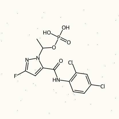 CC(OP(=O)(O)O)n1nc(F)cc1C(=O)Nc1ccc(Cl)cc1Cl